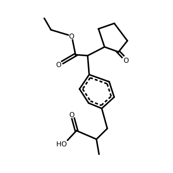 CCOC(=O)C(c1ccc(CC(C)C(=O)O)cc1)C1CCCC1=O